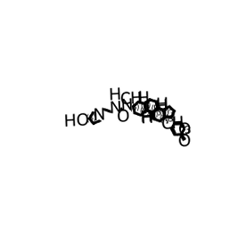 CN(C(=O)NCCN1CC[C@H](O)C1)[C@H]1CC[C@@]2(C)[C@H](CC[C@@H]3[C@@H]2CC[C@]2(C)[C@@H](c4ccc(=O)oc4)CC[C@]32O)C1